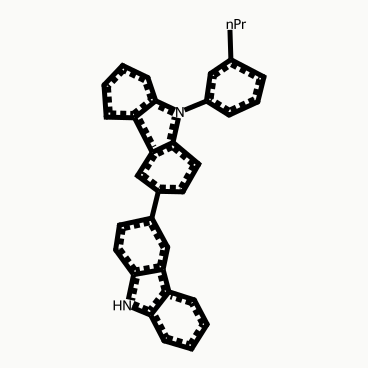 CCCc1cccc(-n2c3ccccc3c3cc(-c4ccc5[nH]c6ccccc6c5c4)ccc32)c1